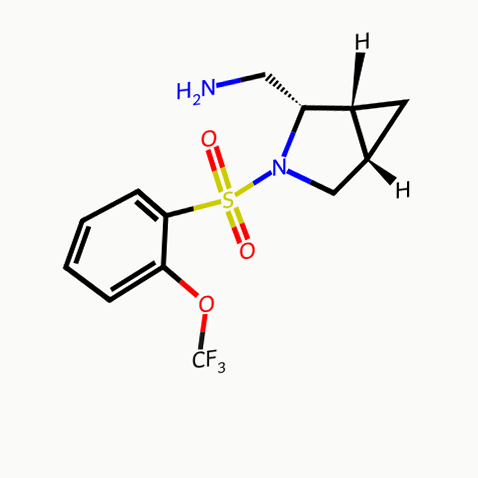 NC[C@@H]1[C@@H]2C[C@@H]2CN1S(=O)(=O)c1ccccc1OC(F)(F)F